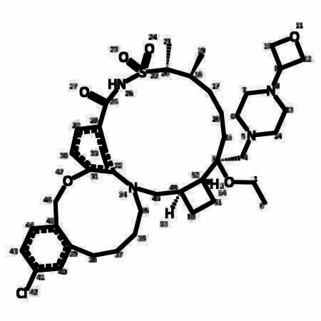 CCO[C@]1(CN2CCN(C3COC3)CC2)CCC[C@H](C)[C@@H](C)S(=O)(=O)NC(=O)c2ccc3c(c2)N(CCCCc2cc(Cl)ccc2CO3)C[C@@H]2CC[C@H]21